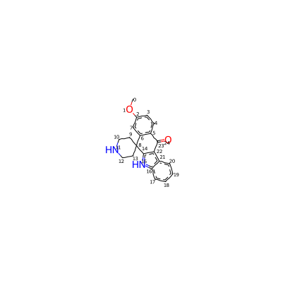 COc1ccc2c(c1)C1(CCNCC1)c1[nH]c3ccccc3c1C2=O